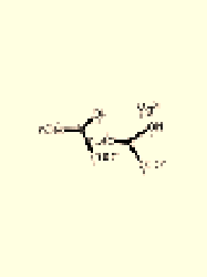 CCCCCCCCCCC(O)C(=O)[O-].CCCCCCCCCCC(O)C(=O)[O-].[Mg+2]